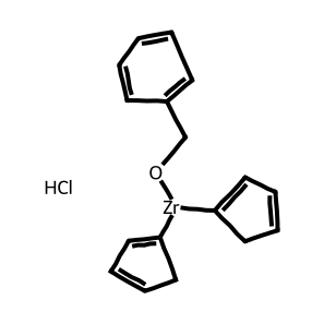 C1=CC[C]([Zr]([O]Cc2ccccc2)[C]2=CC=CC2)=C1.Cl